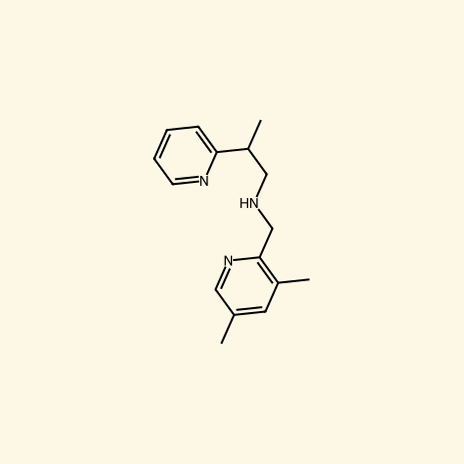 Cc1cnc(CNCC(C)c2ccccn2)c(C)c1